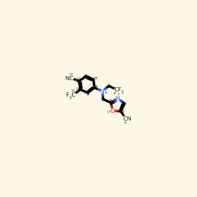 N#Cc1cnc(CN(CC(F)(F)F)c2ccc(C#N)c(C(F)(F)F)c2)o1